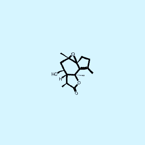 CC1=C2[C@@]3(C)OC(=O)[C@@H](C)[C@@H]3[C@@H](O)C[C@]3(C)O[C@]23CC1